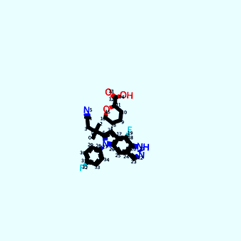 CC(C)(CC#N)c1c([C@H]2CCC(C(=O)O)OC2)c2c(F)c3[nH]ncc3cc2n1-c1ccc(F)cc1